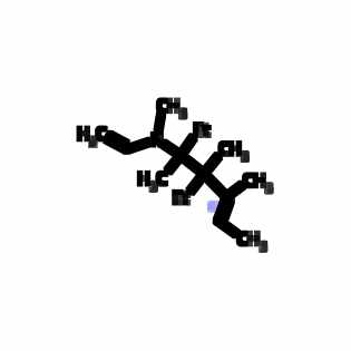 C=CN(C)C(C)(CC)C(C)(CC)/C(C)=C/C